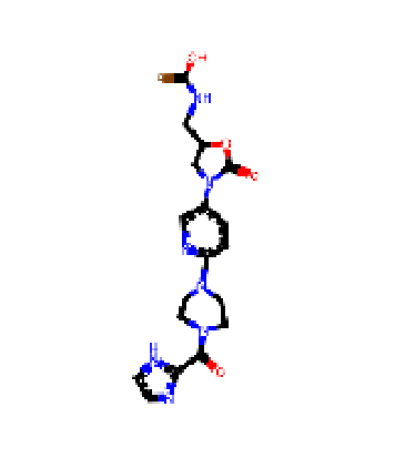 O=C(c1ncc[nH]1)N1CCN(c2ccc(N3CC(CNC(O)=S)OC3=O)cn2)CC1